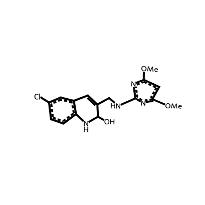 COc1cc(OC)nc(NCC2=Cc3cc(Cl)ccc3NC2O)n1